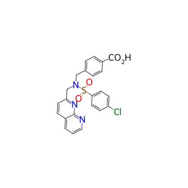 O=C(O)c1ccc(CN(Cc2ccc3cccnc3n2)S(=O)(=O)c2ccc(Cl)cc2)cc1